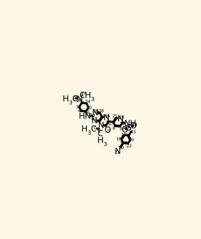 CC(C)n1c(=O)c(-c2ccc(NS(=O)(=O)Cc3ccc(C#N)cc3)nc2)nc2cnc(NC3CCC(N(C)C)CC3)nc21